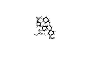 COc1ccc(CN(Cc2ccc(OC)cc2)c2cc(-c3cnn(C)c3)c(OC(C)C#N)cn2)cc1